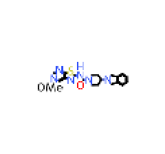 COc1ncnc2sc(NC(=O)N3CCC(N4Cc5ccccc5C4)CC3)nc12